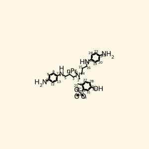 CCC[N+](C)(CCCNc1ccc(N)cc1)CCCNc1ccc(N)cc1.Cc1ccc(O)cc1S(=O)(=O)[O-]